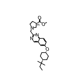 CCC(C)(C)[C@H]1CC[C@H](Oc2ccc3nc(CN4CC[C@@H](C(=O)OC)C4)ncc3c2)CC1